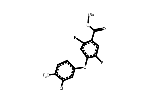 CC(C)(C)OC(=O)c1cc(F)c(Oc2ccc(C(F)(F)F)c(Cl)c2)cc1F